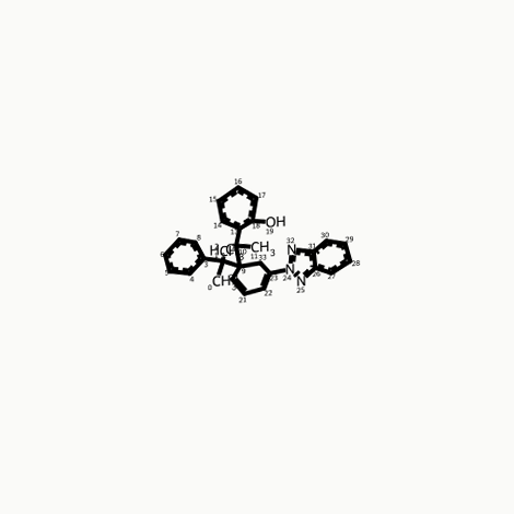 CC(C)(c1ccccc1)C1(C(C)(C)c2ccccc2O)C=CC=C(n2nc3ccccc3n2)C1